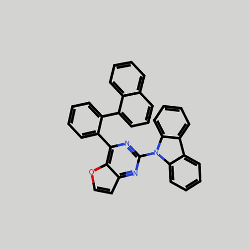 c1ccc(-c2nc(-n3c4ccccc4c4ccccc43)nc3ccoc23)c(-c2cccc3ccccc23)c1